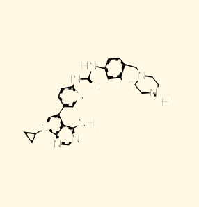 CN1CCN(Cc2ccc(NC(=O)Nc3ccc(-c4cn(C5CC5)c5ncnc(N)c45)cn3)cc2C(F)(F)F)CC1